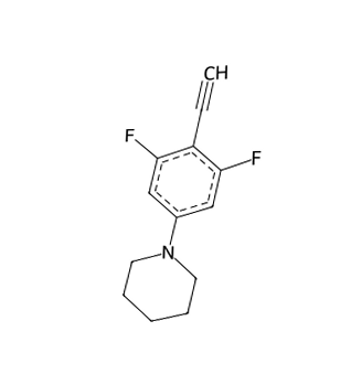 C#Cc1c(F)cc(N2CCCCC2)cc1F